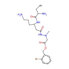 CC(C)CC(N)C(=O)NC(CCCN)CC(=O)NN(C)CC(=O)OCc1ccccc1Br